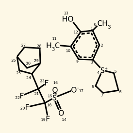 Cc1cc([S+]2CCCC2)cc(C)c1O.O=S(=O)([O-])C(F)(F)C(F)(F)C1CC2CCC1C2